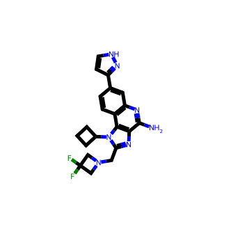 Nc1nc2cc(-c3cc[nH]n3)ccc2c2c1nc(CN1CC(F)(F)C1)n2C1CCC1